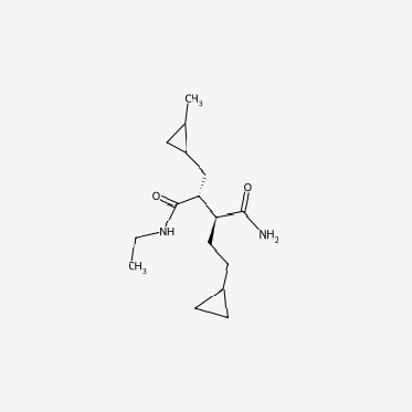 CCNC(=O)[C@H](CC1CC1C)[C@H](CCC1CC1)C(N)=O